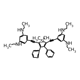 CCNc1cc(C#CC2=C(c3ccccc3)C(c3ccccc3)=C(C#Cc3cc(NCC)cc(NCC)c3)[Si]2(C)C)cc(NCC)c1